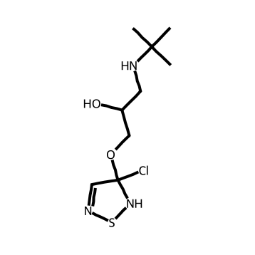 CC(C)(C)NCC(O)COC1(Cl)C=NSN1